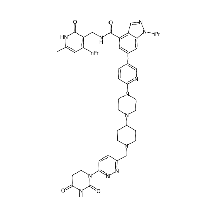 CCCc1cc(C)[nH]c(=O)c1CNC(=O)c1cc(-c2ccc(N3CCN(C4CCN(Cc5ccc(N6CCC(=O)NC6=O)nn5)CC4)CC3)nc2)cc2c1cnn2C(C)C